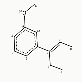 CC=C(CC)c1cccc(OC)c1